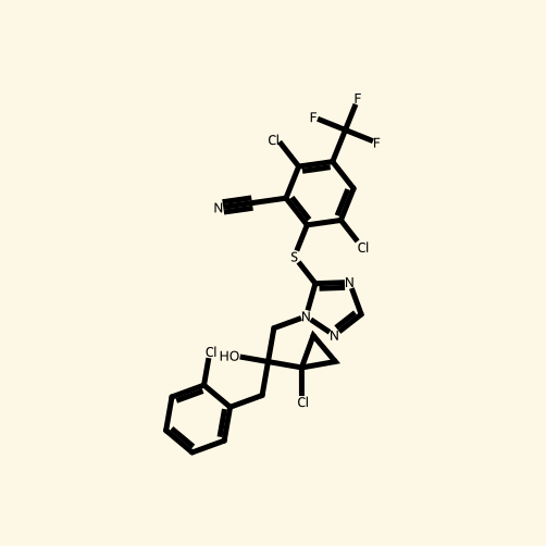 N#Cc1c(Cl)c(C(F)(F)F)cc(Cl)c1Sc1ncnn1CC(O)(Cc1ccccc1Cl)C1(Cl)CC1